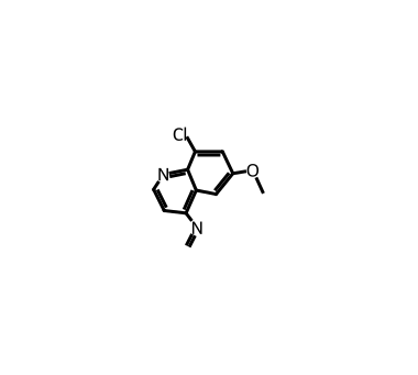 C=Nc1ccnc2c(Cl)cc(OC)cc12